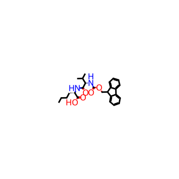 CCCC[C@H](NC(=O)[C@@H](NC(=O)OCC1c2ccccc2-c2ccccc21)C(C)C)C(=O)O